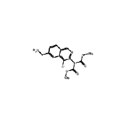 CC(C)(C)OC(=O)N(C(=O)OC(C)(C)C)c1ncc2ccc(CN)cc2c1Br